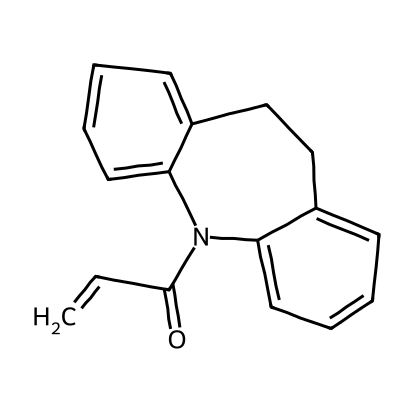 C=CC(=O)N1c2ccccc2CCc2ccccc21